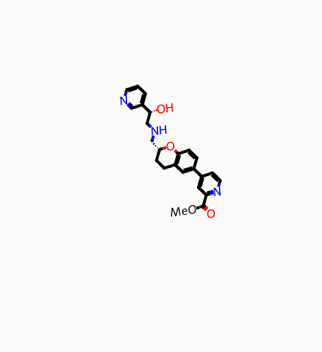 COC(=O)c1cc(-c2ccc3c(c2)CC[C@H](CNC[C@@H](O)c2cccnc2)O3)ccn1